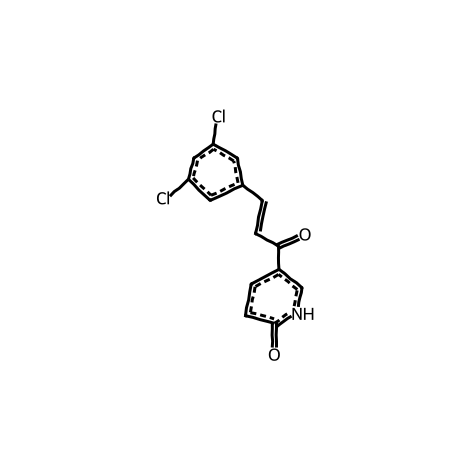 O=C(/C=C/c1cc(Cl)cc(Cl)c1)c1ccc(=O)[nH]c1